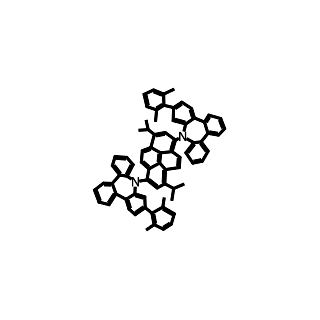 Cc1cccc(C)c1-c1ccc2c(c1)N(c1cc(C(C)C)c3ccc4c(N5c6ccccc6-c6ccccc6-c6ccc(-c7c(C)cccc7C)cc65)cc(C(C)C)c5ccc1c3c54)c1ccccc1-c1ccccc1-2